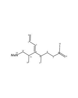 C=C/C=C(/C(C)CCC(=C)I)C(C)CNC